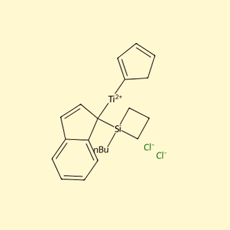 CCCC[Si]1([C]2([Ti+2][C]3=CC=CC3)C=Cc3ccccc32)CCC1.[Cl-].[Cl-]